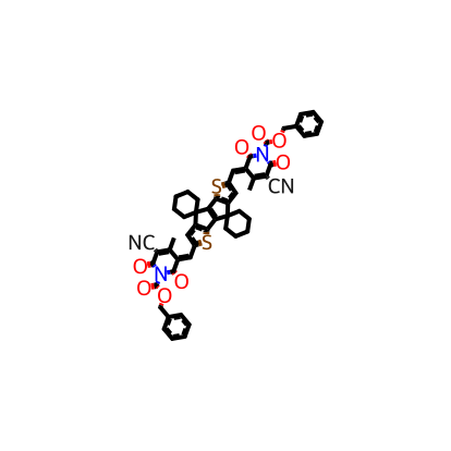 CC1=C(C#N)C(=O)N(C(=O)OCc2ccccc2)C(=O)/C1=C/c1cc2c(s1)C1=C(c3sc(/C=C4/C(=O)N(C(=O)OCc5ccccc5)C(=O)C(C#N)=C4C)cc3C13CCCCC3)C21CCCCC1